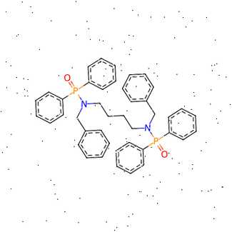 O=P(c1ccccc1)(c1ccccc1)N(CCCCN(Cc1ccccc1)P(=O)(c1ccccc1)c1ccccc1)Cc1ccccc1